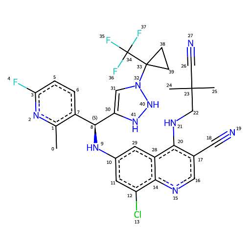 Cc1nc(F)ccc1[C@H](Nc1cc(Cl)c2ncc(C#N)c(NCC(C)(C)C#N)c2c1)C1=CN(C2(C(F)(F)F)CC2)NN1